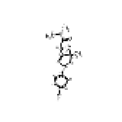 CN(C)C(=O)OC1=NN(c2ccc(Cl)cc2)CC1(C)C